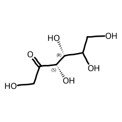 O=C(CO)[C@@H](O)[C@H](O)C(O)CO